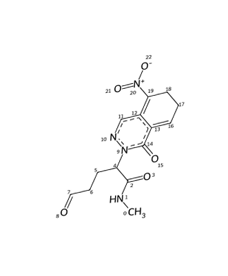 CNC(=O)C(CCC=O)n1ncc2c(c1=O)=CCCC=2[N+](=O)[O-]